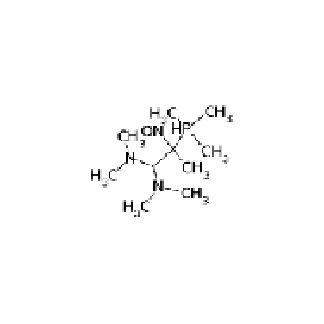 CN(C)C(N(C)C)C(C)(N=O)[PH](C)(C)C